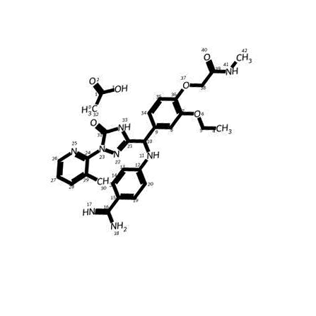 CC(=O)O.CCOc1cc(C(Nc2ccc(C(=N)N)cc2)c2nn(-c3ncccc3C)c(=O)[nH]2)ccc1OCC(=O)NC